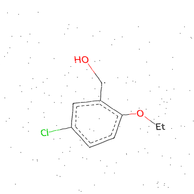 CCOc1ccc(Cl)cc1[CH]O